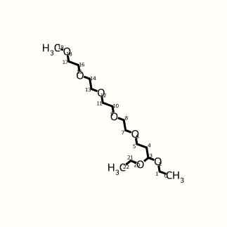 CCOC(CCOCCOCCOCCOCCOC)OCC